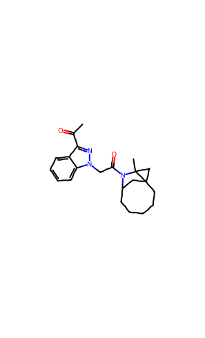 CC(=O)c1nn(CC(=O)N2C3CCCCCC4(C3)CC24C)c2ccccc12